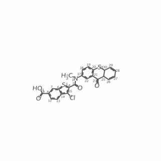 CN(C(=O)c1sc2cc(C(=O)O)ccc2c1Cl)c1ccc2c(c1)C(=O)C1C=CC=CC1S2